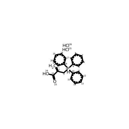 C=C(C[PH](c1ccccc1)(c1ccccc1)c1ccccc1)C(=O)O.Cl.Cl